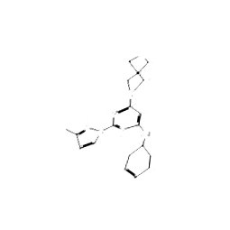 Cc1ccn(-c2nc(NC3CC=CCC3)cc(N3CC4(COC4)C3)n2)n1